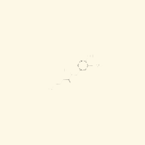 CCCCCCOCCC(=O)C(O)Cc1ccc(O)c(OC)c1